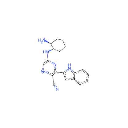 N#Cc1ncc(N[C@@H]2CCCC[C@@H]2N)nc1-c1cc2ccccc2[nH]1